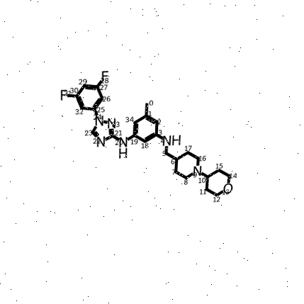 Cc1cc(NCC2CCN(C3CCOCC3)CC2)cc(Nc2ncn(-c3cc(F)cc(F)c3)n2)c1